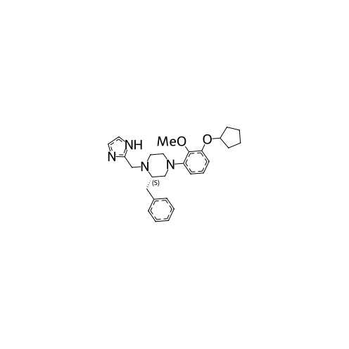 COc1c(OC2CCCC2)cccc1N1CCN(Cc2ncc[nH]2)[C@@H](Cc2ccccc2)C1